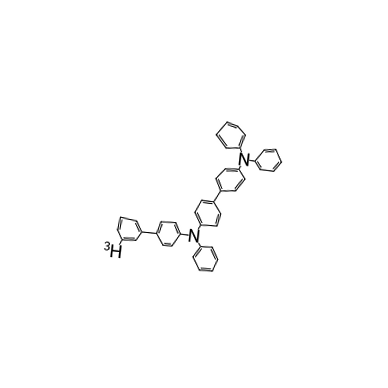 [3H]c1cccc(-c2ccc(N(c3ccccc3)c3ccc(-c4ccc(N(c5ccccc5)c5ccccc5)cc4)cc3)cc2)c1